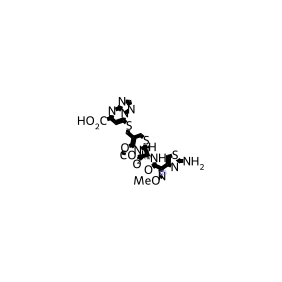 CO/N=C(\C(=O)N[C@@H]1C(=O)N2C(OC(=O)O)=C(CSc3cc(C(=O)O)nc4ncnn34)CS[C@H]12)c1csc(N)n1